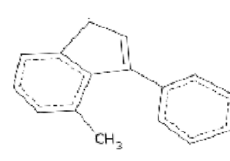 Cc1cccc2c1C(c1ccccc1)=C[CH]2